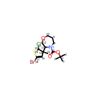 CC(C)(C)OC(=O)N1CCCOCC1C1(C)C=C(Br)SC1Cl